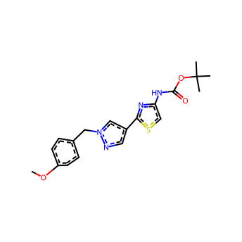 COc1ccc(Cn2cc(-c3nc(NC(=O)OC(C)(C)C)cs3)cn2)cc1